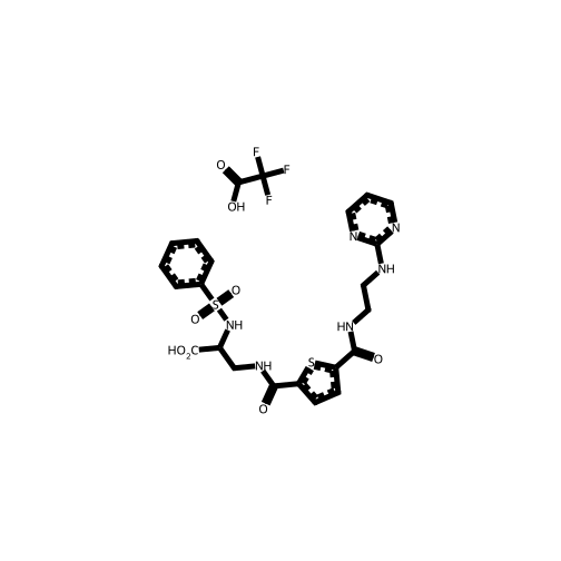 O=C(NCCNc1ncccn1)c1ccc(C(=O)NCC(NS(=O)(=O)c2ccccc2)C(=O)O)s1.O=C(O)C(F)(F)F